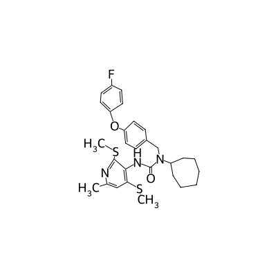 CSc1cc(C)nc(SC)c1NC(=O)N(Cc1ccc(Oc2ccc(F)cc2)cc1)C1CCCCCC1